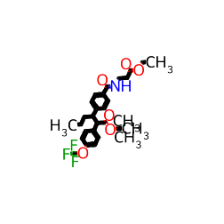 CCCC(c1ccc(C(=O)NCCC(=O)OCC)cc1)C(C(=O)OC(C)(C)C)c1ccc(OC(F)(F)F)cc1